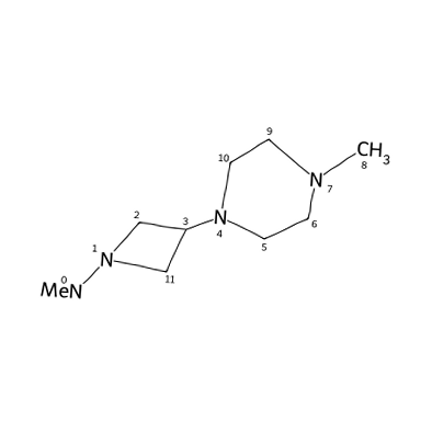 CNN1CC(N2CCN(C)CC2)C1